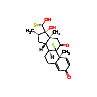 C[C@H]1C[C@H]2[C@@H]3CCC4=CC(=O)C=C[C@]4(C)[C@@]3(F)C(=O)C[C@]2(C)[C@]1(O)C(O)=S